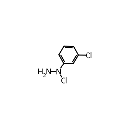 NN(Cl)c1cccc(Cl)c1